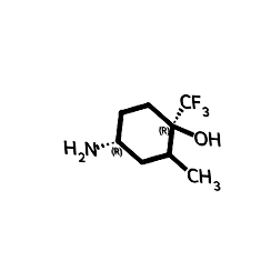 CC1C[C@H](N)CC[C@]1(O)C(F)(F)F